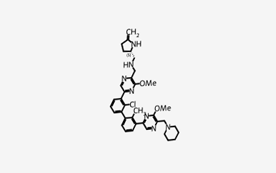 C=C1CC[C@@H](CNCc2ncc(-c3cccc(-c4cccc(-c5cnc(CN6CCCCC6)c(OC)n5)c4C)c3Cl)nc2OC)N1